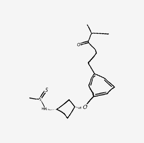 CC(C)C(=O)CCc1cccc(O[C@H]2C[C@@H](NS(C)=S)C2)c1